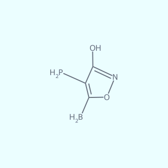 Bc1onc(O)c1P